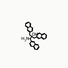 N[C@H](c1ccc2ccccc2c1)C(O)(Cc1ccc2ccccc2c1)Cc1ccc2ccccc2c1